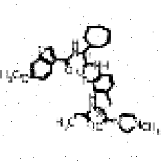 CCC(=O)N[C@H](Cc1ccc(NC(=O)[C@@H](NC(=O)c2coc3cc(OC)ccc23)C2CCCCCC2)c(F)c1)C(=O)N1CCN(C)CC1